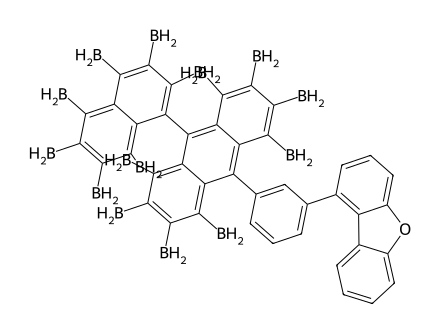 Bc1c(B)c(B)c2c(-c3c4c(B)c(B)c(B)c(B)c4c(-c4cccc(-c5cccc6oc7ccccc7c56)c4)c4c(B)c(B)c(B)c(B)c34)c(B)c(B)c(B)c2c1B